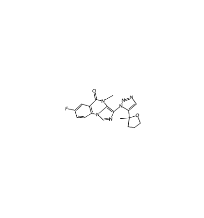 Cn1c(=O)c2cc(F)ccc2n2cnc(-n3nncc3C3(C)CCCO3)c12